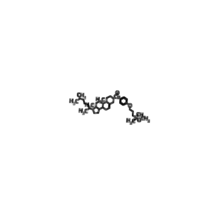 CO[Si](C)(C)CCCOc1cc[c]([Co](=[O])[CH]2CC[C@@]3(C)C(=CCC4C5CCC(C(C)CCCC(C)C)[C@@]5(C)CCC43)C2)cc1